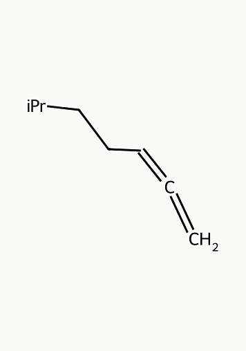 C=C=CCCC(C)C